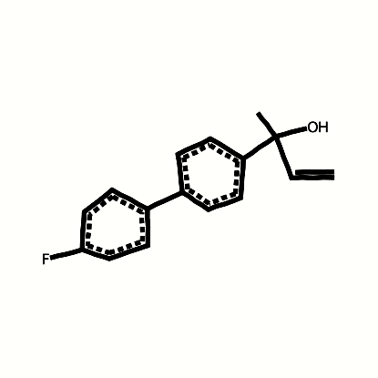 C=CC(C)(O)c1ccc(-c2ccc(F)cc2)cc1